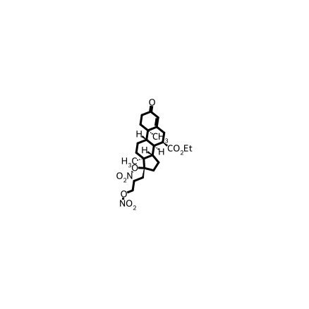 CCOC(=O)[C@@H]1CC2=CC(=O)CC[C@]2(C)[C@H]2CC[C@@]3(C)[C@@H](CC[C@]3(CCCO[N+](=O)[O-])O[N+](=O)[O-])[C@H]12